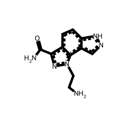 NCCn1nc(C(N)=O)c2ccc3[nH]ncc3c21